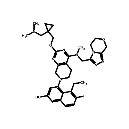 CCc1c(F)ccc2cc(O)cc(N3CCc4c(nc(OCC5(CN(C)C)CC5)nc4N(C)Cc4nnc5n4CCOC5)C3)c12